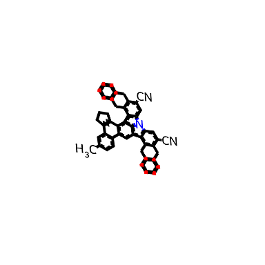 Cc1ccc2c(c1)C13CCCC1(CCC3)c1c-2cc2c3c4c(c(C#N)cc3n3c5cc(C#N)c6c(c5c1c23)C1c2ccccc2C6c2ccccc21)C1c2ccccc2C4c2ccccc21